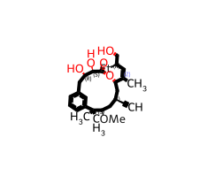 C#C[C@@H]1CC(/C(C)=C\[C@@H](CC)CO)OC(=O)[C@@H](O)[C@H](O)Cc2cccc(c2)C(C)(C)[C@@H](OC)C1